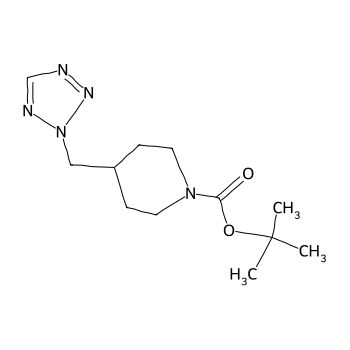 CC(C)(C)OC(=O)N1CCC(Cn2ncnn2)CC1